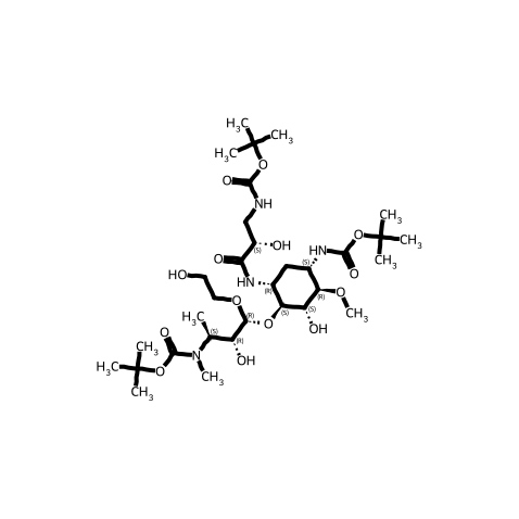 CO[C@H]1[C@H](O)[C@@H](O[C@@H](OCCO)[C@H](O)[C@H](C)N(C)C(=O)OC(C)(C)C)[C@H](NC(=O)[C@@H](O)CNC(=O)OC(C)(C)C)C[C@@H]1NC(=O)OC(C)(C)C